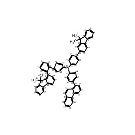 CC1(C)c2ccccc2-c2ccc(-c3ccc(N(c4ccc(-c5ccccc5-c5cccc6c5C(C)(C)c5ccccc5-6)cc4)c4ccc(-c5cccc6c5ccc5ccccc56)cc4)cc3)cc21